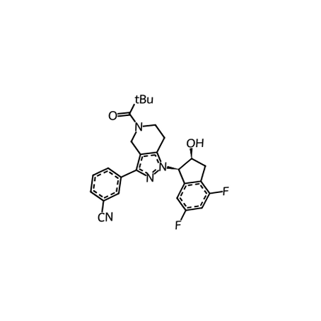 CC(C)(C)C(=O)N1CCc2c(c(-c3cccc(C#N)c3)nn2[C@@H]2c3cc(F)cc(F)c3C[C@@H]2O)C1